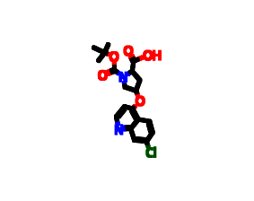 CC(C)(C)OC(=O)N1CC(Oc2ccnc3cc(Cl)ccc23)CC1C(=O)O